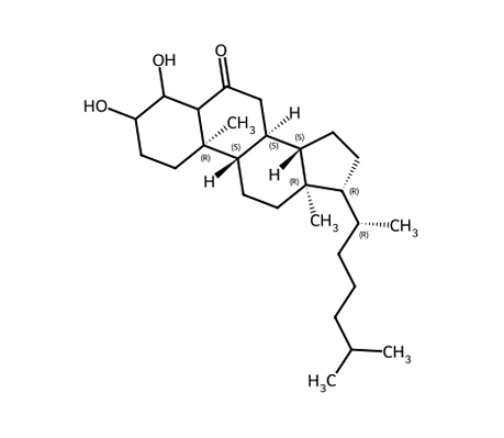 CC(C)CCC[C@@H](C)[C@H]1CC[C@H]2[C@@H]3CC(=O)C4C(O)C(O)CC[C@]4(C)[C@H]3CC[C@]12C